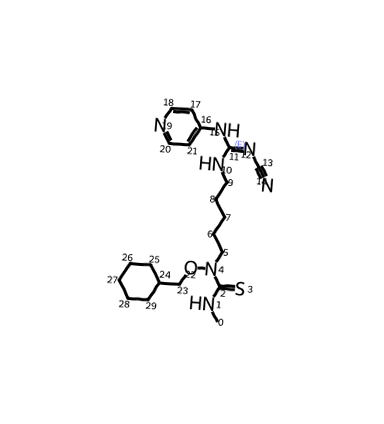 CNC(=S)N(CCCCCN/C(=N\C#N)Nc1ccncc1)OCC1CCCCC1